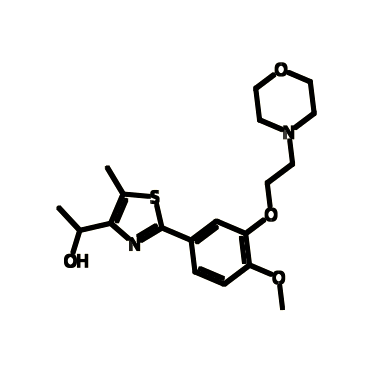 COc1ccc(-c2nc(C(C)O)c(C)s2)cc1OCCN1CCOCC1